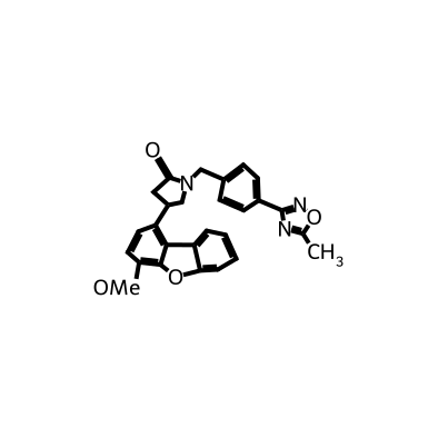 COc1ccc(C2CC(=O)N(Cc3ccc(-c4noc(C)n4)cc3)C2)c2c1oc1ccccc12